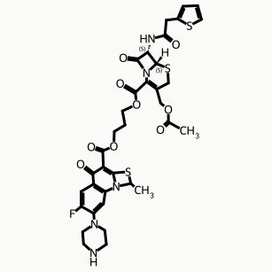 CC(=O)OCC1=C(C(=O)OCCCOC(=O)c2c3n(c4cc(N5CCNCC5)c(F)cc4c2=O)C(C)S3)N2C(=O)[C@H](NC(=O)Cc3cccs3)[C@@H]2SC1